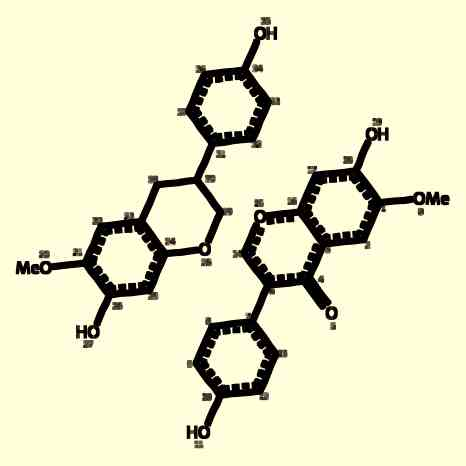 COc1cc2c(=O)c(-c3ccc(O)cc3)coc2cc1O.COc1cc2c(cc1O)OCC(c1ccc(O)cc1)C2